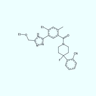 CCOCc1nnc(-c2cc(C(=O)N3CCC(F)(c4ccccc4C#N)CC3)c(C)cc2CC)[nH]1